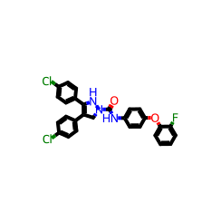 O=C(Nc1ccc(Oc2ccccc2F)cc1)N1CC(c2ccc(Cl)cc2)=C(c2ccc(Cl)cc2)N1